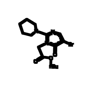 CCCCOC(=O)Cn1c(N2CCCCC2)ncc(Br)c1=O